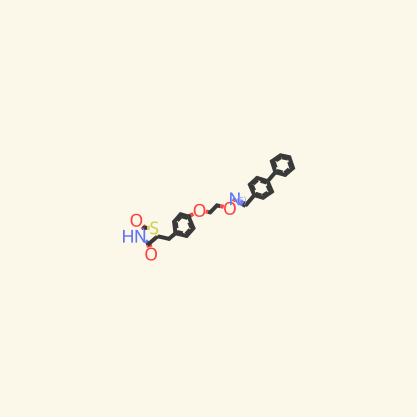 O=C1NC(=O)C(Cc2ccc(OCCO/N=C/c3ccc(-c4ccccc4)cc3)cc2)S1